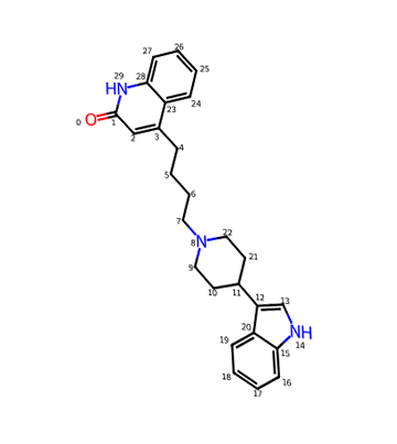 O=c1cc(CCCCN2CCC(c3c[nH]c4ccccc34)CC2)c2ccccc2[nH]1